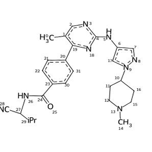 Cc1cnc(Nc2cnn(C3CCN(C)CC3)c2)nc1-c1ccc(C(=O)NC(C#N)C(C)C)cc1